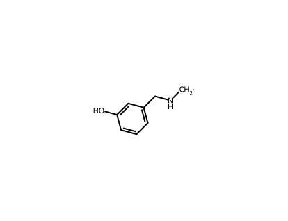 [CH2]NCc1cccc(O)c1